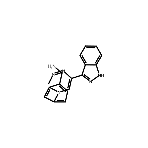 C/N=N\C(=C/N1C2=CC=C(CN)C1=C2)c1n[nH]c2ccccc12